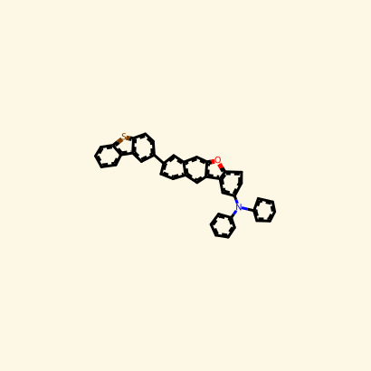 c1ccc(N(c2ccccc2)c2ccc3oc4cc5cc(-c6ccc7sc8ccccc8c7c6)ccc5cc4c3c2)cc1